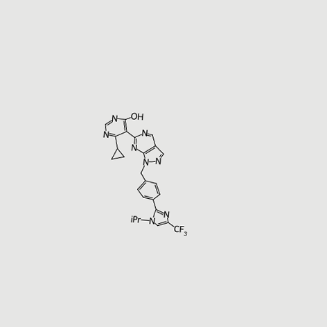 CC(C)n1cc(C(F)(F)F)nc1-c1ccc(Cn2ncc3cnc(-c4c(O)ncnc4C4CC4)nc32)cc1